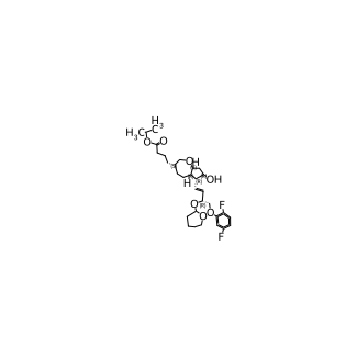 CC(C)OC(=O)CCC[C@H]1CC[C@@H]2[C@@H](C=C[C@H](COc3cc(F)ccc3F)OC3CCCCO3)[C@H](O)C[C@@H]2OC1